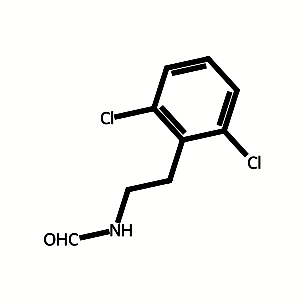 O=CNCCc1c(Cl)cccc1Cl